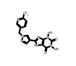 CCCn1c(=O)c2[nH]c(-c3cnn(Cc4ccc(C(F)(F)F)nc4)c3)nc2n(CCC)c1=O